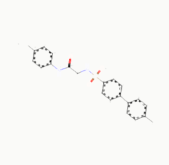 Cc1ccc(-c2ccc(S(=O)(=O)NCC(=O)Nc3ccc(C(=O)O)cc3)cc2)cc1